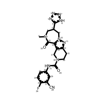 CN1CC(c2nnn[nH]2)Cn2nc3c(c2C1=O)CN(C(=O)Nc1ccc(F)c(C#N)c1)CC3